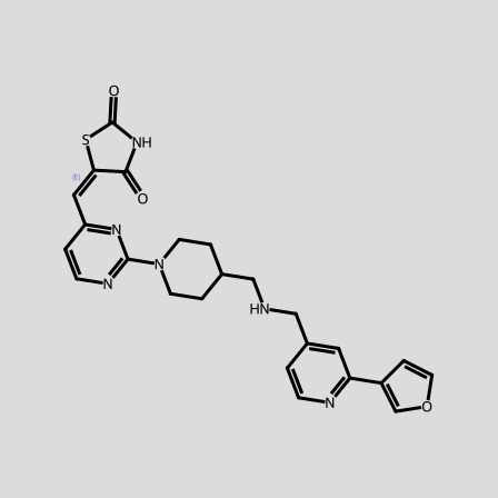 O=C1NC(=O)/C(=C\c2ccnc(N3CCC(CNCc4ccnc(-c5ccoc5)c4)CC3)n2)S1